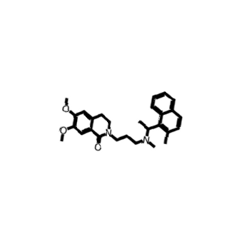 COc1cc2c(cc1OC)C(=O)N(CCCN(C)C(C)c1c(C)ccc3ccccc13)CC2